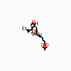 CC[C@H]1CC1[C@@H](O[Si](C)(C)C(C)(C)C)[C@@H]1CC2O[C@@H]2[C@H]1CC#CCC#CCCCC12OCC(C)(CO1)CO2